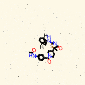 CC(=O)Nc1ccc(C(=O)N2CCC(C3(C)SC(N[C@H]4C[C@@H]5CC[C@H]4C5)=NC3=O)CC2)cc1